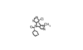 Cn1ncc2c1c1c(Cl)ncnc1n2C(=O)c1ccccc1